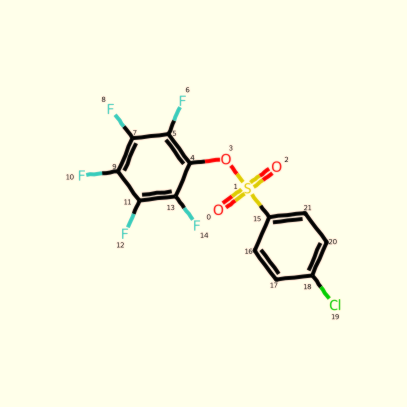 O=S(=O)(Oc1c(F)c(F)c(F)c(F)c1F)c1ccc(Cl)cc1